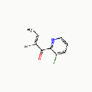 CC=C(C(C)=O)C(=O)c1ncccc1F